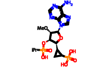 CO[C@H]1[C@@H](OP(=O)(O)C(C)C)[C@@H](C2CC2P(=O)(O)O)O[C@H]1n1cnc2c(N)ncnc21